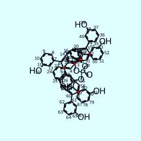 O=P(OC12C=CC(c3cccc(O)c3)=C(c3ccc1cc3)C2c1cccc(O)c1)(OC12C=CC(c3cccc(O)c3)=C(c3ccc1cc3)C2c1cccc(O)c1)OC12C=CC(c3cccc(O)c3)=C(c3ccc1cc3)C2c1cccc(O)c1